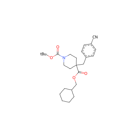 CC(C)(C)OC(=O)N1CCC(Cc2ccc(C#N)cc2)(C(=O)OCC2CCCCC2)CC1